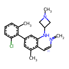 C=N/C=C\c1c(C)cc(-c2c(C)cccc2Cl)cc1NC1CN(C)C1